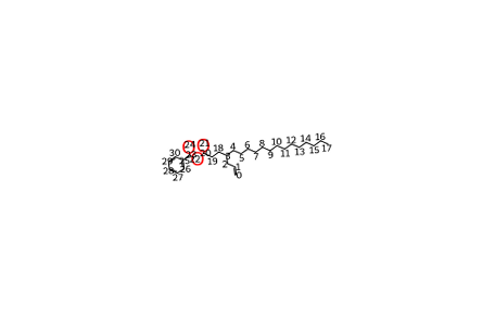 C=CCC(CCCCCCCCCCCCCC)CCC(=O)OC(=O)c1ccccc1